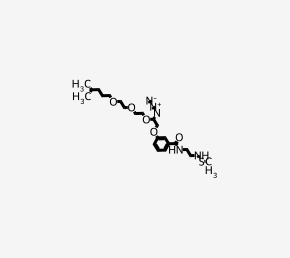 CSNCCNC(=O)c1cccc(OCC(N=[N+]=[N-])OCCOCCOCCCC(C)C)c1